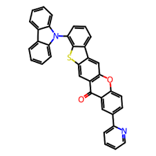 O=c1c2cc(-c3ccccn3)ccc2oc2cc3c(cc12)sc1c(-n2c4ccccc4c4ccccc42)cccc13